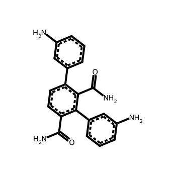 NC(=O)c1ccc(-c2cccc(N)c2)c(C(N)=O)c1-c1cccc(N)c1